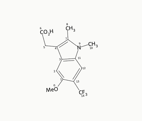 COc1cc2c(CC(=O)O)c(C)n(C)c2cc1C(F)(F)F